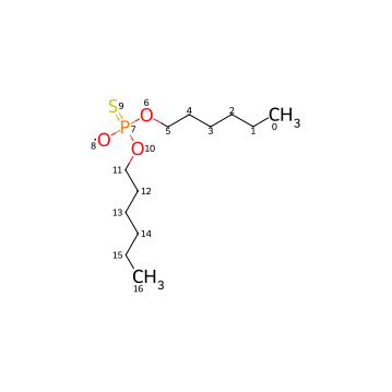 CCCCCCOP([O])(=S)OCCCCCC